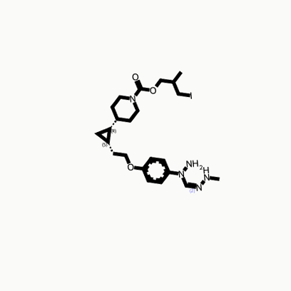 CN/N=C\N(N)c1ccc(OCC[C@@H]2C[C@@H]2C2CCN(C(=O)OCC(C)CI)CC2)cc1